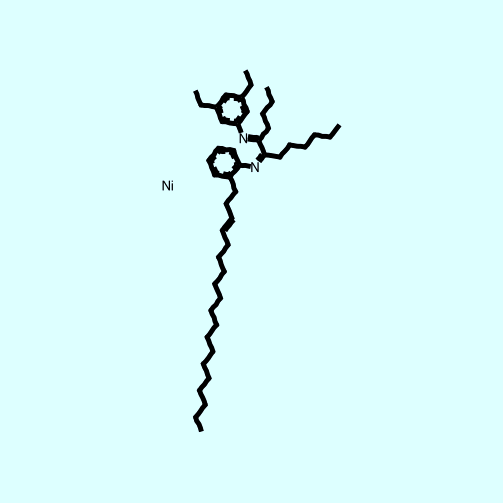 CCCCCCCCCCCCCCCC=CCCc1ccccc1N=C(CCCCCC)C(CCCC)=Nc1cc(CC)cc(CC)c1.[Ni]